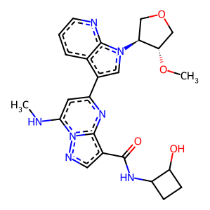 CNc1cc(-c2cn([C@H]3COC[C@@H]3OC)c3ncccc23)nc2c(C(=O)NC3CCC3O)cnn12